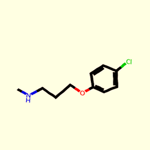 CNC[CH]COc1ccc(Cl)cc1